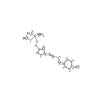 CC(N)(CO)CCc1ccc(C#CCOc2ccc(Cl)cc2)o1